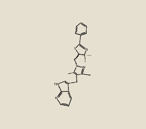 Cc1nn(CC2SC(c3ccccc3)=N[C@@]2(C)I)c(C)c1Cc1c[nH]c2ncccc12